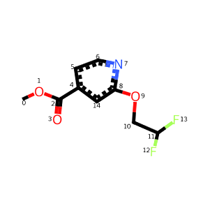 COC(=O)c1ccnc(OCC(F)F)c1